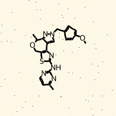 COc1ccc(Cn2cc3c(n2)C(C)OCc2sc(Nc4nccc(C)n4)nc2-3)cc1